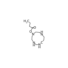 CCCC(=O)ON1CCNCCCNCNCC1